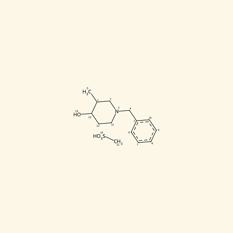 CC1CN(Cc2ccccc2)CCC1O.CS(=O)(=O)O